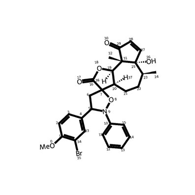 COc1ccc(C2CC3(ON2c2ccccc2)C(=O)O[C@@H]2[C@H]3CC[C@H](C)[C@]3(O)C=CC(=O)[C@@]23C)cc1Br